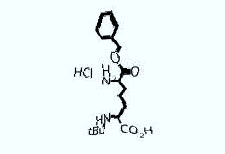 CC(C)(C)N[C@@H](CCCC(N)C(=O)OCc1ccccc1)C(=O)O.Cl